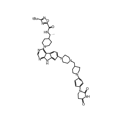 C[C@@H](NC(=O)c1nc(C(C)(C)C)no1)C1CCN(c2ncnc3[nH]c4cc(N5CCN(CC6CCN(c7ccc(N8CCC(=O)NC8=O)cc7)CC6)CC5)ccc4c23)CC1